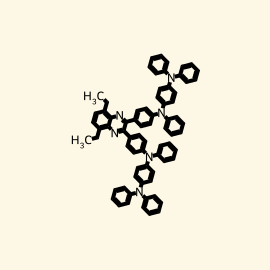 CCc1ccc(CC)c2nc(-c3ccc(N(c4ccccc4)c4ccc(N(c5ccccc5)c5ccccc5)cc4)cc3)c(-c3ccc(N(c4ccccc4)c4ccc(N(c5ccccc5)c5ccccc5)cc4)cc3)nc12